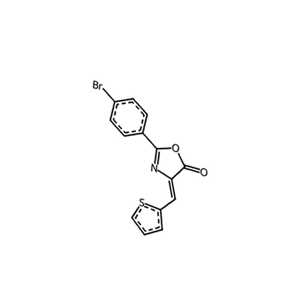 O=C1OC(c2ccc(Br)cc2)=NC1=Cc1cccs1